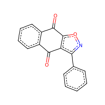 O=C1c2ccccc2C(=O)c2c(-c3ccccc3)noc21